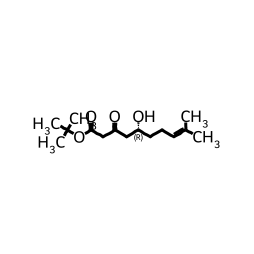 CC(C)=CCC[C@@H](O)CC(=O)CC(=O)OC(C)(C)C